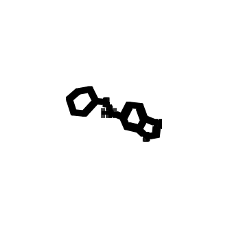 c1nc2ccc(NSC3CCCCC3)cc2s1